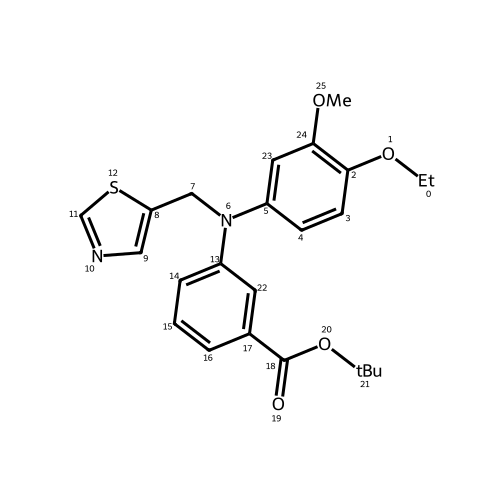 CCOc1ccc(N(Cc2cncs2)c2cccc(C(=O)OC(C)(C)C)c2)cc1OC